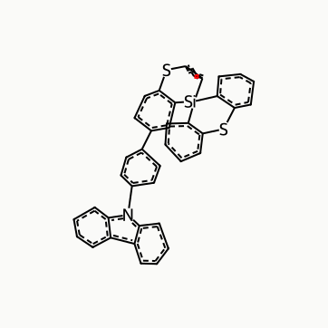 c1ccc2c(c1)Sc1ccccc1[Si]21c2ccccc2Sc2ccc(-c3ccc(-n4c5ccccc5c5ccccc54)cc3)cc21